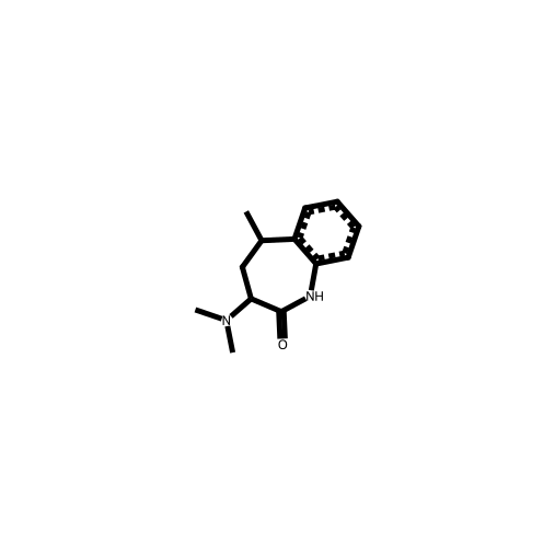 CC1CC(N(C)C)C(=O)Nc2ccccc21